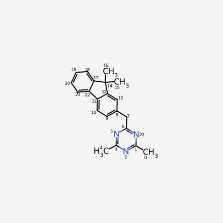 Cc1nc(C)nc(Cc2ccc3c(c2)C(C)(C)c2ccccc2-3)n1